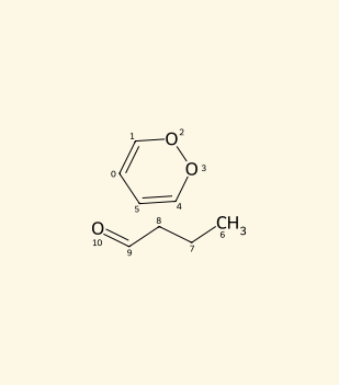 C1=COOC=C1.CCCC=O